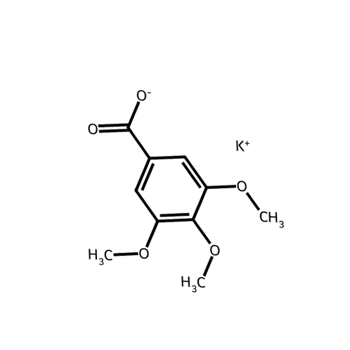 COc1cc(C(=O)[O-])cc(OC)c1OC.[K+]